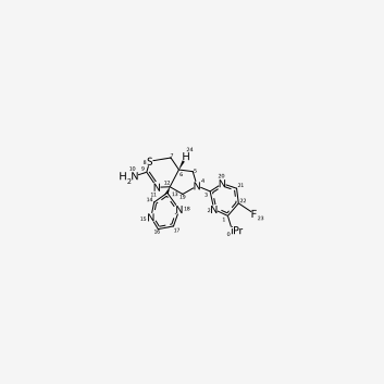 CC(C)c1nc(N2C[C@H]3CSC(N)=N[C@@]3(c3cnccn3)C2)ncc1F